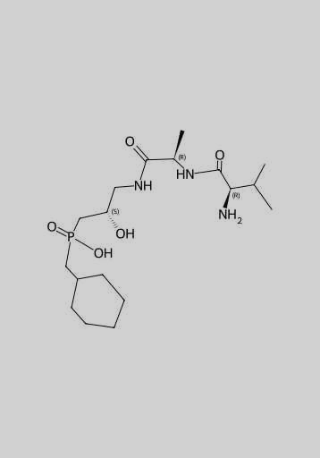 CC(C)[C@@H](N)C(=O)N[C@H](C)C(=O)NC[C@H](O)CP(=O)(O)CC1CCCCC1